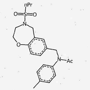 CCCS(=O)(=O)N1CCOc2ccc(CN(C(C)=O)c3ccc(C)cc3)cc2C1